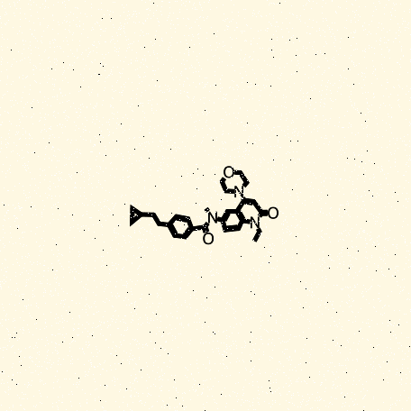 CCn1c(=O)cc(N2CCOCC2)c2cc(N(C)C(=O)c3ccc(CCC4CC4)cc3)ccc21